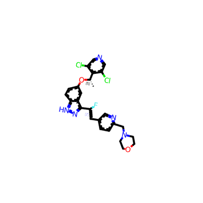 C[C@H](Oc1ccc2[nH]nc(/C(F)=C/c3ccc(CN4CCOCC4)nc3)c2c1)c1c(Cl)cncc1Cl